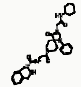 O=C(CN1CN(c2ccccc2)C2(CCN(C(=O)CNC(=O)[C@H]3Cc4ccccc4CN3)CC2)C1=O)NC1CCCCC1